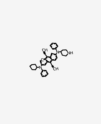 C#Cc1c2ccc(N(c3ccccc3)C3CCNCC3)cc2c(C#C)c2ccc(N(c3ccccc3)C3CCCCC3)cc12